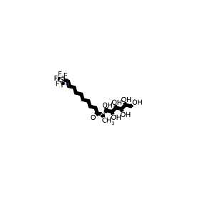 CN(C(=O)CCCCCCC/C=C/S(F)(F)(F)(F)F)C(O)C(O)C(O)C(O)C(O)CO